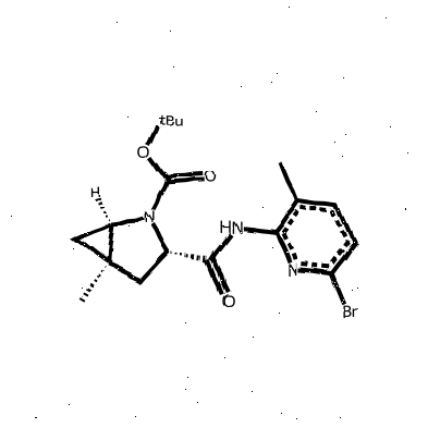 Cc1ccc(Br)nc1NC(=O)[C@@H]1C[C@@]2(C)C[C@H]2N1C(=O)OC(C)(C)C